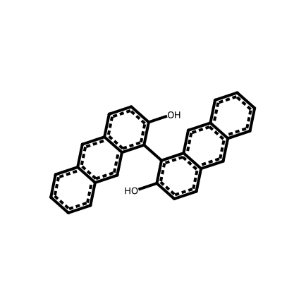 Oc1ccc2cc3ccccc3cc2c1-c1c(O)ccc2cc3ccccc3cc12